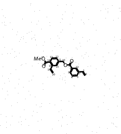 C=Cc1cccc(C(=O)OCc2ccc(C(=O)OC)c(C=C)c2)c1